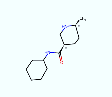 O=C(NC1CCCCC1)[C@@H]1CC[C@H](C(F)(F)F)NC1